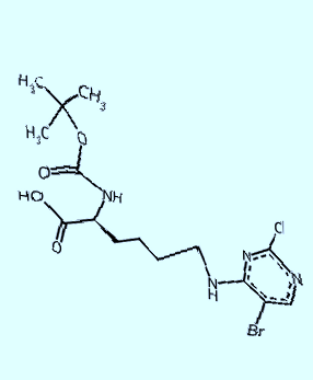 CC(C)(C)OC(=O)N[C@@H](CCCCNc1nc(Cl)ncc1Br)C(=O)O